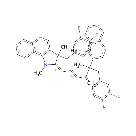 C=C(/C=C/C=C1/N(C)c2c(ccc3ccccc23)C1(C)Cc1ccc(F)c(F)c1)C(C)(Cc1ccc(F)c(F)c1)c1ccc2ccccc2c1C